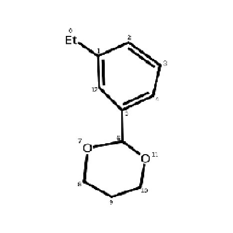 CCc1cccc(C2OCCCO2)c1